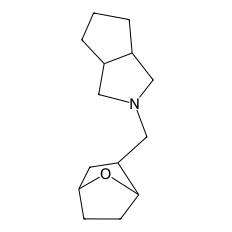 C1CC2CN(CC3CC4CCC3O4)CC2C1